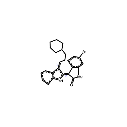 O=C1Nc2cc(Br)ccc2/C1=c1/[nH]c2ccccc2/c1=C/CCC1CCCCC1